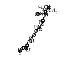 CCn1c2ccc(CNCCOCCOCCOCCC(=O)NCCOc3ccc(CCc4nc5cc(-c6c(C)noc6C)ccc5n4CCN4CCOCC4)cc3F)cc2c2ccc(-c3cscn3)cc21